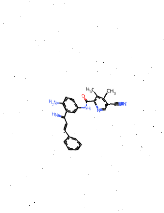 Cc1c(C#N)cnc(C(=O)Nc2ccc(N)c(C(=N)/C=C/c3ccccc3)c2)c1C